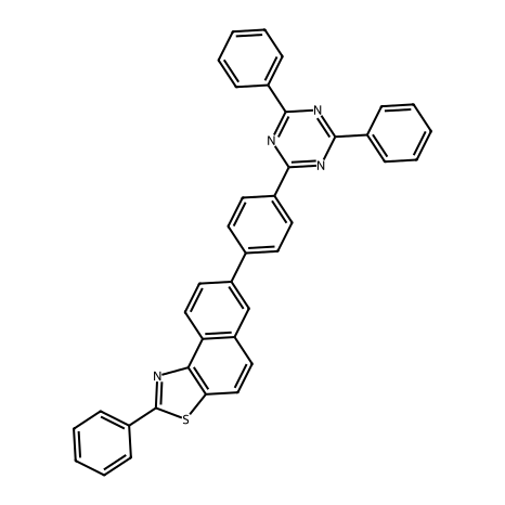 c1ccc(-c2nc(-c3ccccc3)nc(-c3ccc(-c4ccc5c(ccc6sc(-c7ccccc7)nc65)c4)cc3)n2)cc1